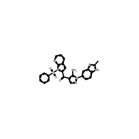 Cc1nc2cc(-n3ncc(C(=O)c4cc5cccnc5n4S(=O)(=O)c4ccccc4)c3N)ccc2[nH]1